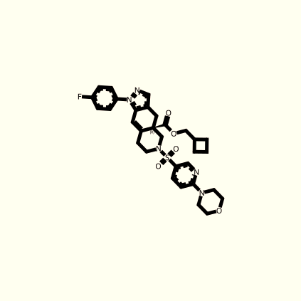 O=C(OCC1CCC1)[C@]12Cc3cnn(-c4ccc(F)cc4)c3C=C1CCN(S(=O)(=O)c1ccc(N3CCOCC3)nc1)C2